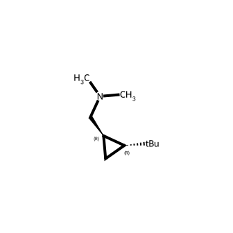 CN(C)C[C@@H]1C[C@H]1C(C)(C)C